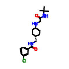 CC(C)(C)NC(=O)CN[C@H]1CC[C@H](CNC(=O)c2cccc(Cl)c2)CC1